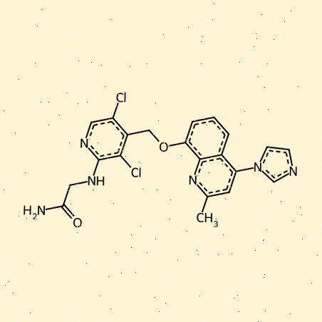 Cc1cc(-n2ccnc2)c2cccc(OCc3c(Cl)cnc(NCC(N)=O)c3Cl)c2n1